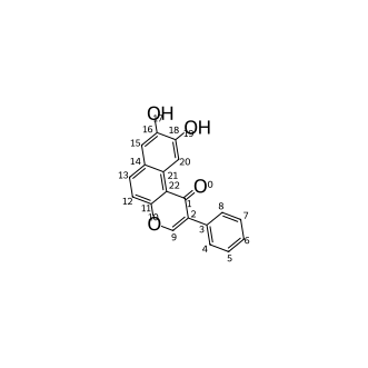 O=c1c(-c2ccccc2)coc2ccc3cc(O)c(O)cc3c12